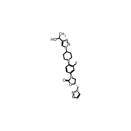 CC(O)c1cn(C2CCN(c3ccc(N4C[C@H](Cn5ccnn5)OC4=O)cc3F)CC2)nn1